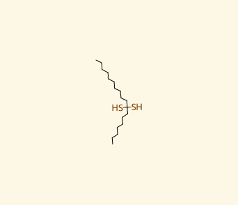 CCCCCCCCCCC(S)(S)CCCCCCC